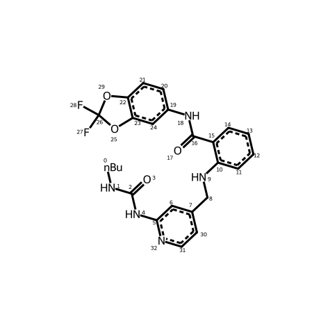 CCCCNC(=O)Nc1cc(CNc2ccccc2C(=O)Nc2ccc3c(c2)OC(F)(F)O3)ccn1